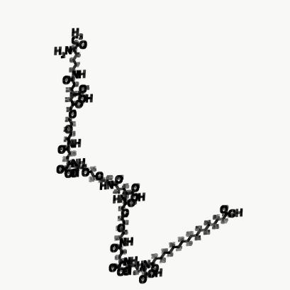 CC(=O)[C@@H](N)CCCCNC(=O)CC[C@H](CC(=O)COCCOCCNC(=O)CC[C@H](NC(=O)COCCOCCNC(=O)CC[C@H](NC(=O)COCCOCCNC(=O)CC[C@H](NC(=O)CC[C@H](NC(=O)CCCCCCCCCCCCCCCCC(=O)O)C(=O)O)C(=O)O)C(=O)O)C(=O)O)C(=O)O